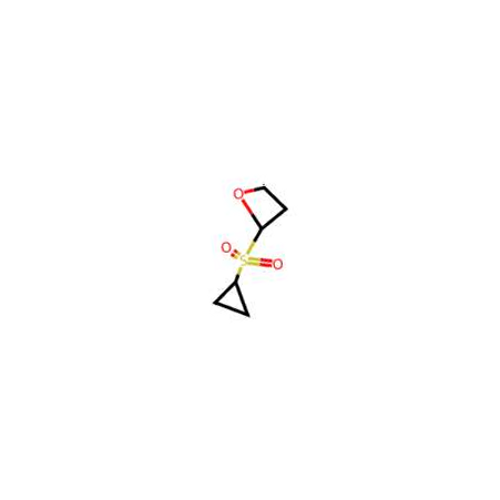 O=S(=O)(C1CC1)C1C[CH]O1